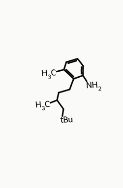 Cc1cccc(N)c1CCC(C)CC(C)(C)C